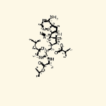 CC(C)OC(=O)[C@@H](C)NP(N[C@H](C)C(=O)OC(C)C)OC[C@H]1O[C@@](C#N)(c2ccc3c(N)ncnn23)[C@](C)(O)[C@@H]1OC(=O)C(C)C